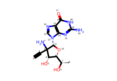 C#CC1(N)[C@@H](O)[C@@H]([C@H](C)O)O[C@H]1n1cnc2c(=O)[nH]c(N)nc21